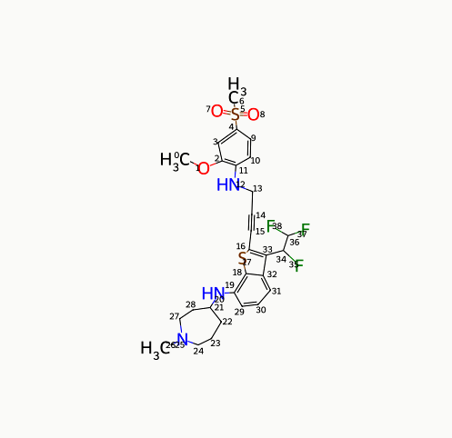 COc1cc(S(C)(=O)=O)ccc1NCC#Cc1sc2c(NC3CCCN(C)CC3)cccc2c1C(F)C(F)F